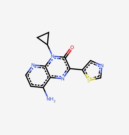 Nc1ccnc2c1nc(-c1cncs1)c(=O)n2C1CC1